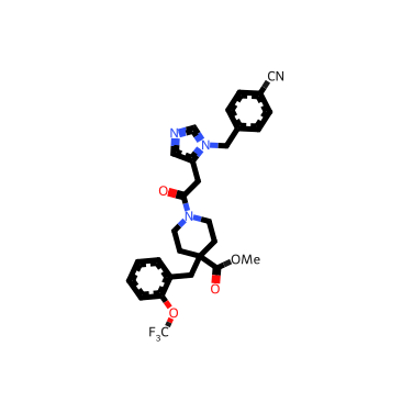 COC(=O)C1(Cc2ccccc2OC(F)(F)F)CCN(C(=O)Cc2cncn2Cc2ccc(C#N)cc2)CC1